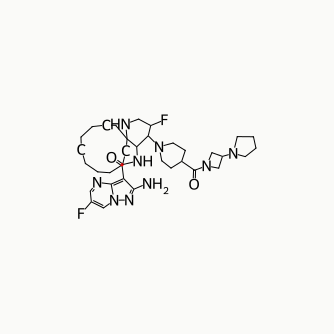 Nc1nn2cc(F)cnc2c1C(=O)NC1C(N2CCC(C(=O)N3CC(N4CCCC4)C3)CC2)C(F)CNC12CCCCCCCCCC2